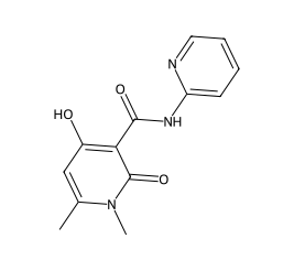 Cc1cc(O)c(C(=O)Nc2ccccn2)c(=O)n1C